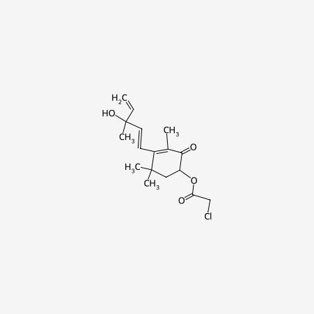 C=CC(C)(O)C=CC1=C(C)C(=O)C(OC(=O)CCl)CC1(C)C